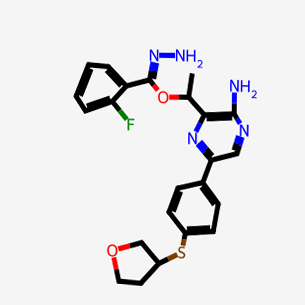 CC(O/C(=N\N)c1ccccc1F)c1nc(-c2ccc(SC3CCOC3)cc2)cnc1N